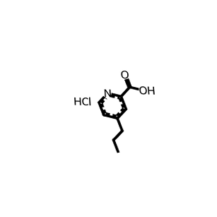 CCCc1ccnc(C(=O)O)c1.Cl